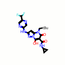 CC(C)(C)Cn1c(=O)c(C(=O)NC2CC2)c(O)n2nc(Nc3cnc(C(F)F)cn3)cc12